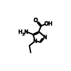 CCn1cnc(C(=O)O)c1N